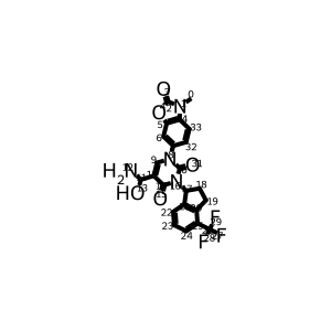 Cn1c(=O)oc2cc(-n3cc(C(N)O)c(=O)n(C4CCc5c4cccc5C(F)(F)F)c3=O)ccc21